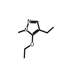 CCOc1c(CC)[c]nn1C